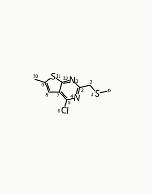 CSCc1nc(Cl)c2cc(C)sc2n1